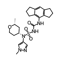 C[C@@H]1C[C@H](N(c2cnn(C)c2)S(=O)(=O)NC(=O)Nc2c3c(cc4c2CCC4)CCC3)CCO1